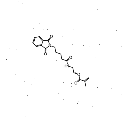 C=C(C)C(=O)OCCNC(=O)CCCCN1C(=O)c2ccccc2C1=O